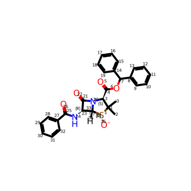 CC1(C)[C@H](C(=O)OC(c2ccccc2)c2ccccc2)N2C(=O)[C@@H](NC(=O)c3ccccc3)[C@H]2[S@@+]1[O-]